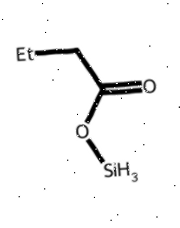 CCCC(=O)O[SiH3]